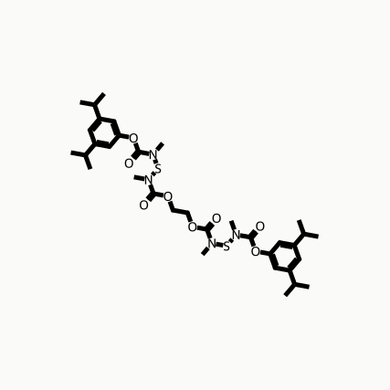 CC(C)c1cc(OC(=O)N(C)SN(C)C(=O)OCCOC(=O)N(C)SN(C)C(=O)Oc2cc(C(C)C)cc(C(C)C)c2)cc(C(C)C)c1